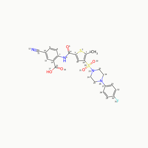 Cc1sc(C(=O)Nc2ccc(C#N)cc2C(=O)O)cc1S(=O)(=O)N1CCN(c2ccc(F)cc2)CC1